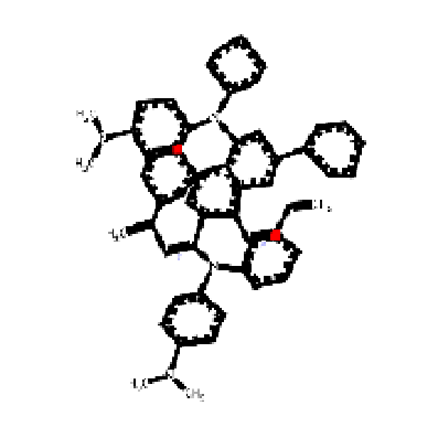 C=C/C=C\c1c(/C(=C\C(=C)c2ccccc2)N(c2ccccc2)c2ccc(N(C)C)cc2)ccc2c(N(c3ccccc3)c3ccc(N(C)C)cc3)cc(-c3ccccc3)cc12